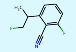 C[C](CF)c1cccc(F)c1C#N